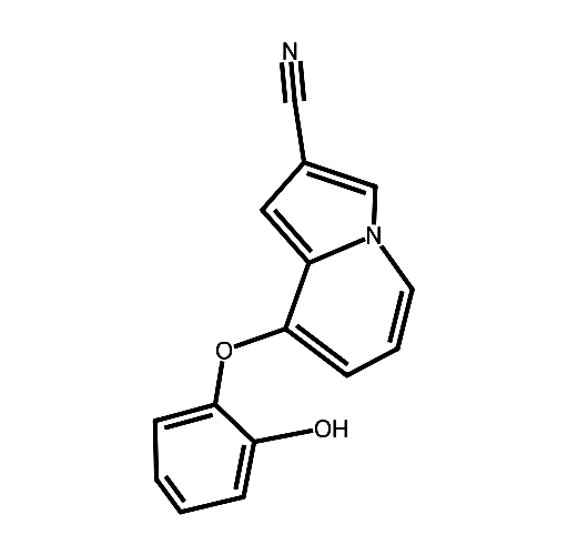 N#Cc1cc2c(Oc3ccccc3O)cccn2c1